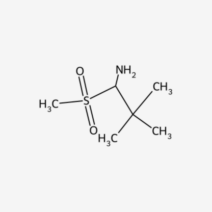 CC(C)(C)C(N)S(C)(=O)=O